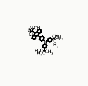 Cc1noc(C)c1-c1c2ccccc2c(-c2ccc(N(c3ccc(C(C)(C)C)cc3)c3ccc(C(C)(C)C)cc3)cc2)c2ccccc12